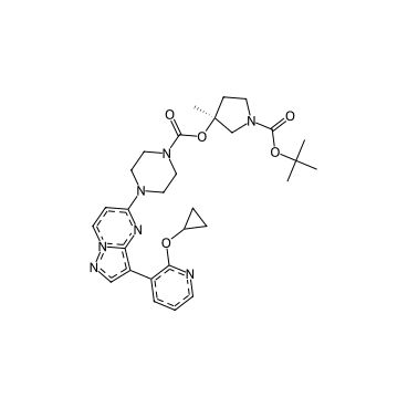 CC(C)(C)OC(=O)N1CC[C@](C)(OC(=O)N2CCN(c3ccn4ncc(-c5cccnc5OC5CC5)c4n3)CC2)C1